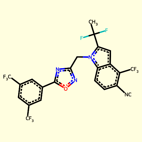 [C-]#[N+]c1ccc2c(cc(C(C)(F)F)n2Cc2noc(-c3cc(C(F)(F)F)cc(C(F)(F)F)c3)n2)c1C(F)(F)F